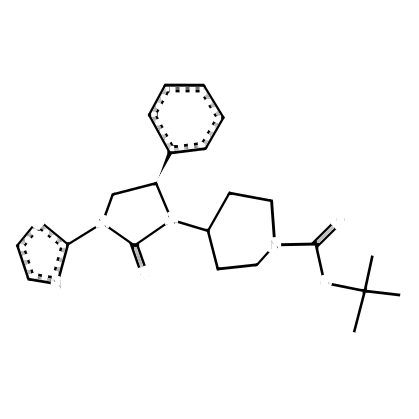 CC(C)(C)OC(=O)N1CCC(N2C(=O)N(c3nccs3)C[C@H]2c2ccccc2)CC1